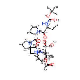 CCC(NC(=O)OC(C)(C)C)C(=O)N1CCC[C@H]1C(=O)N1CCCC1(Cc1ccccc1)C(=O)NC(C(=O)OC)[C@@H](C)OC(C)=O